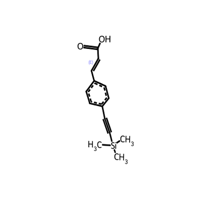 C[Si](C)(C)C#Cc1ccc(/C=C/C(=O)O)cc1